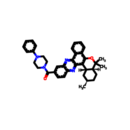 C[C@H]1CC[C@H]2[C@H](C1)c1c(c3ccccc3c3nc4cc(C(=O)N5CCN(c6ccccc6)CC5)ccc4nc13)OC2(C)C